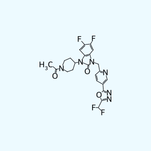 CC(=O)N1CCC(n2c(=O)n(Cc3ccc(-c4nnc(C(F)F)o4)cn3)c3cc(F)c(F)cc32)CC1